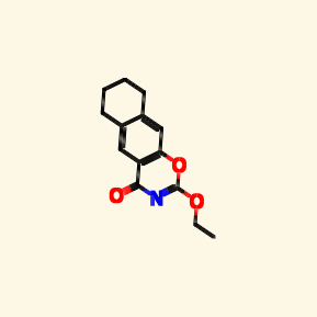 CCOc1nc(=O)c2cc3c(cc2o1)CCCC3